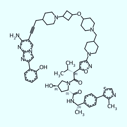 Cc1ncsc1-c1ccc([C@H](C)NC(=O)[C@@H]2C[C@@H](O)CN2C(=O)[C@@H](c2cc(N3CCC(CN4CCC(OC5CC(N6CCC(CC#Cc7cn8cc(-c9ccccc9O)nc8nc7N)CC6)C5)CC4)CC3)no2)C(C)C)cc1